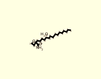 CCCCCCCCCCCCCCCCC1(C(N)=O)CCO1.O